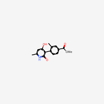 COC(=O)c1ccc(-c2c(O)cc(C)[nH]c2=O)c(C)c1